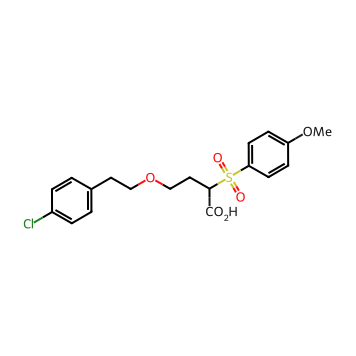 COc1ccc(S(=O)(=O)C(CCOCCc2ccc(Cl)cc2)C(=O)O)cc1